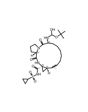 CC(C)(C)OC(O)N[C@H]1CCCCC/C=C\[C@@H]2C[C@@]2(C(=O)NS(=O)(=O)C2CC2)NC(=O)[C@@H]2CCCN2C1=O